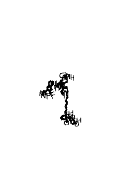 CNC(=O)N1CCc2c(c(N3CCCc4cc(-c5cnn(C)c5)c(C(F)F)cc43)nn2C2CCN(CCCCCCNc3cccc4c3C(=O)N(C3CCC(=O)NC3=O)C4=O)CC2)C1